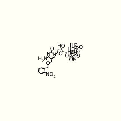 Nc1nc(=O)n([C@H]2C[C@@H](O)[C@@H](COP(=O)(O)OP(=O)(O)OP(=O)(O)O)O2)cc1COCc1ccccc1[N+](=O)[O-]